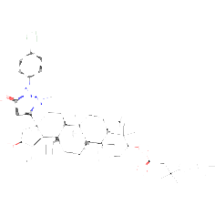 CC(C)C1=C2[C@H]3CC[C@@H]4[C@@]5(C)CC[C@H](OC(=O)CC(C)(C)C(=O)O)C(C)(C)[C@@H]5CC[C@@]4(C)[C@]3(C)CC[C@@]2(c2cc(=O)n(-c3ccc(Cl)cc3)n2C)CC1=O